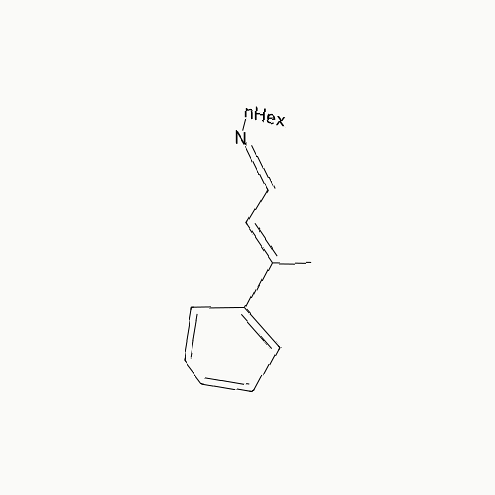 CCCCCCN=CC=C(C)c1ccccc1